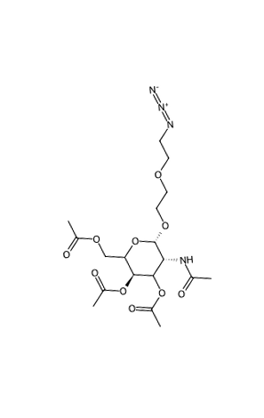 CC(=O)N[C@@H]1C(OC(C)=O)[C@@H](OC(C)=O)C(COC(C)=O)O[C@@H]1OCCOCCN=[N+]=[N-]